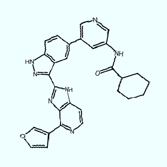 O=C(Nc1cncc(-c2ccc3[nH]nc(-c4nc5c(-c6ccoc6)nccc5[nH]4)c3c2)c1)C1CCCCC1